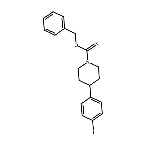 S=C(OCc1ccccc1)N1CCC(c2ccc(I)cc2)CC1